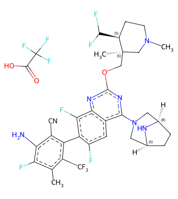 Cc1c(F)c(N)c(C#N)c(-c2c(F)cc3c(N4C[C@H]5CC[C@@H](C4)N5)nc(OC[C@]4(C)CN(C)CC[C@@H]4C(F)F)nc3c2F)c1C(F)(F)F.O=C(O)C(F)(F)F